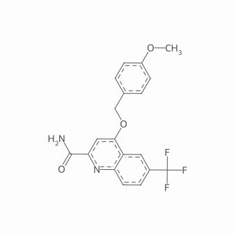 COc1ccc(COc2cc(C(N)=O)nc3ccc(C(F)(F)F)cc23)cc1